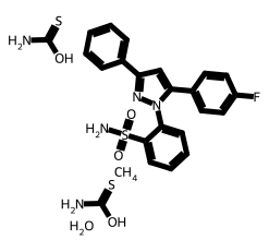 C.NC(O)=S.NC(O)=S.NS(=O)(=O)c1ccccc1-n1nc(-c2ccccc2)cc1-c1ccc(F)cc1.O